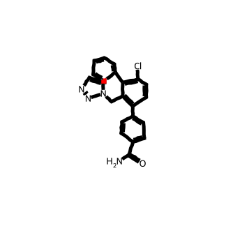 NC(=O)c1ccc(-c2ccc(Cl)c(-c3ccccn3)c2Cn2ccnn2)cc1